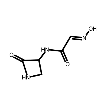 O=C(C=NO)NC1CNC1=O